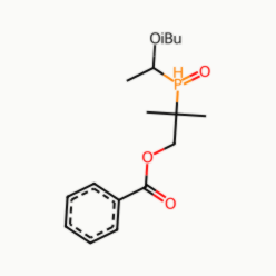 CC(C)COC(C)[PH](=O)C(C)(C)COC(=O)c1ccccc1